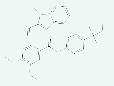 COc1ccc(C(=O)Nc2ccc(C(C)(C)CN)cc2)cc1OC.Cn1c(C(=O)O)cc2ccccc21